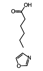 CCCCCC(=O)O.c1cocn1